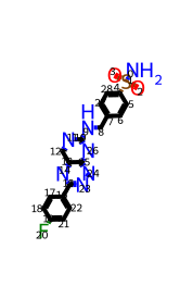 NS(=O)(=O)c1ccc(CNc2ncc3nc(-c4ccc(F)cc4)nnc3n2)cc1